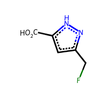 O=C(O)c1cc(CF)n[nH]1